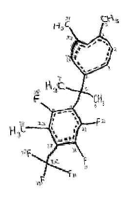 Cc1ccc(C(C)(C)c2c(F)c(C)c(C(F)(F)F)c(F)c2F)cc1C